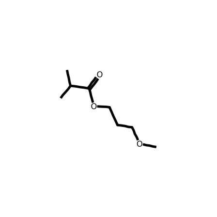 COCCCOC(=O)C(C)C